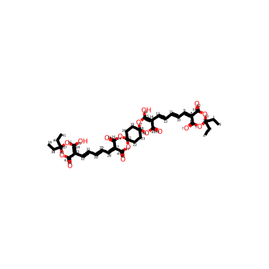 CCC1(CC)OC(=O)C(=C/C=C/C=C/C2=C(O)OC3(CCC4(CC3)OC(=O)C(=C/C=C/C=C/C3=C(O)OC(CC)(CC)OC3=O)C(=O)O4)OC2=O)C(=O)O1